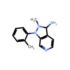 Cc1ccccc1N1c2cnccc2C(N)N1C